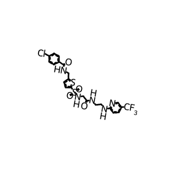 O=C(CNS(=O)(=O)c1ccc(CNC(=O)c2ccc(Cl)cc2)s1)NCCNc1ccc(C(F)(F)F)cn1